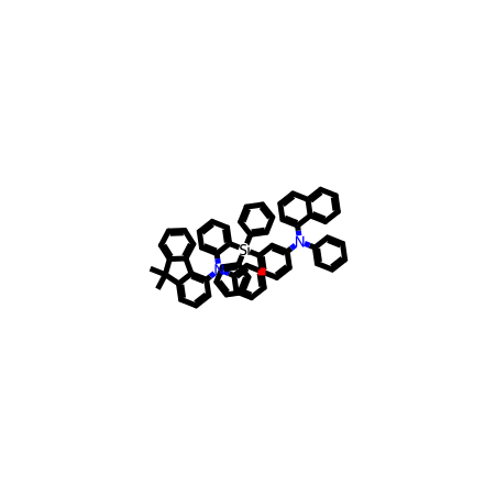 CC1(C)c2ccccc2-c2c(N(c3ccccc3)c3ccccc3[Si](c3ccccc3)(c3ccccc3)c3cccc(N(c4ccccc4)c4cccc5ccccc45)c3)cccc21